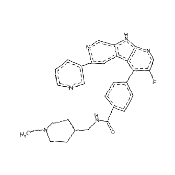 CN1CCC(CNC(=O)c2ccc(-c3c(F)cnc4[nH]c5cnc(-c6cccnc6)cc5c34)cc2)CC1